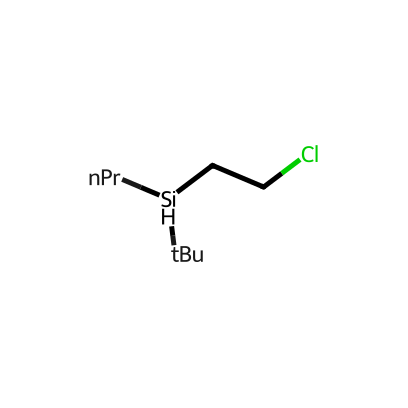 CCC[SiH](CCCl)C(C)(C)C